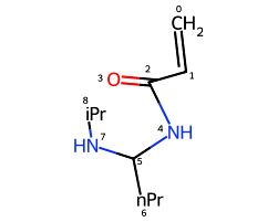 C=CC(=O)NC(CCC)NC(C)C